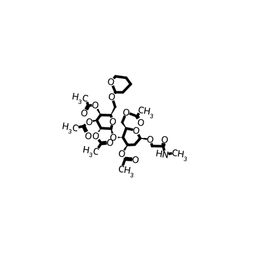 CNC(=O)CO[C@H]1C[C@@H](OC(C)=O)[C@H](O[C@@H]2O[C@H](COC3CCCCO3)[C@H](OC(C)=O)[C@H](OC(C)=O)[C@H]2OC(C)=O)[C@@H](COC(C)=O)O1